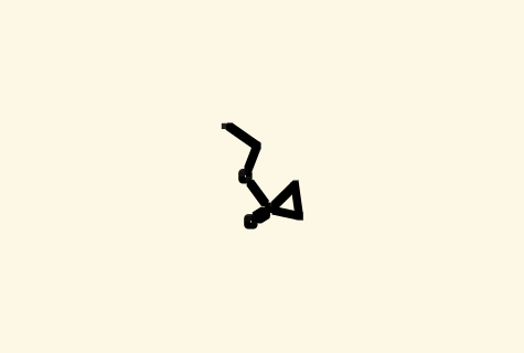 [CH2]COP1(=O)CC1